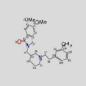 COc1cc2c(cc1OC)C(=O)N(CC1CCCN(CCc3cccc(C)c3)C1)C2